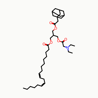 CCCCC/C=C\C/C=C\CCCCCCCC(=O)OCC(COC(=O)CN(CC)CC)COC(=O)CC12CC3CC(CC(C3)C1)C2